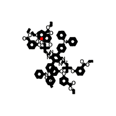 CCOC(=O)c1cccc(OCC(COc2cccc(C(=O)OCC)c2)(COc2cccc(C(=O)OCC)c2)Cn2nc3c(-c4ccc(N(c5ccccc5)c5ccccc5)cc4)c4n[n+](CC(COc5cccc(C(=O)OCC)c5)(COc5cccc(C(=O)OCC)c5)COc5cccc(C(=O)OCC)c5)[n-]c4c(-c4ccc(N(c5ccccc5)c5ccccc5)cc4)c3n2)c1